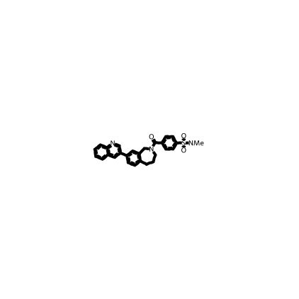 CNS(=O)(=O)c1ccc(C(=O)N2CCCc3ccc(-c4cnc5ccccc5c4)cc3C2)cc1